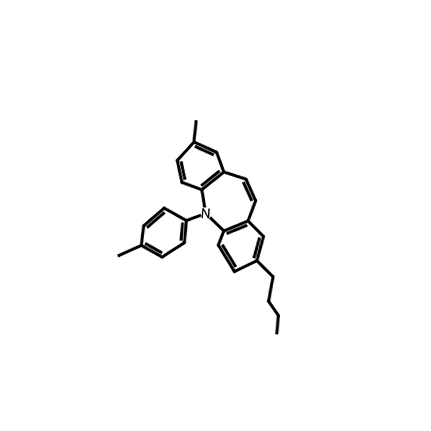 CCCCc1ccc2c(c1)C=Cc1cc(C)ccc1N2c1ccc(C)cc1